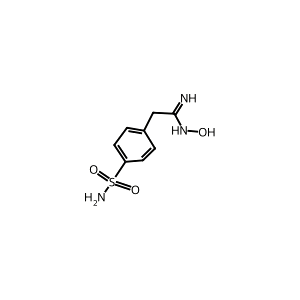 N=C(Cc1ccc(S(N)(=O)=O)cc1)NO